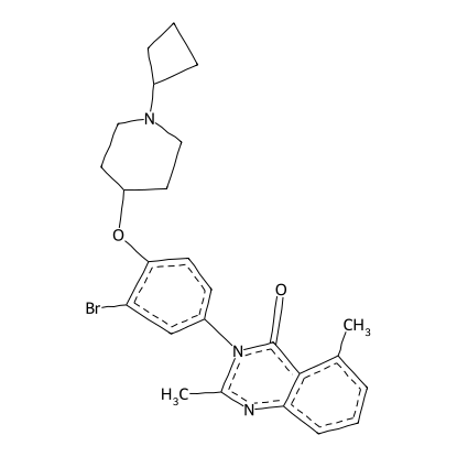 Cc1cccc2nc(C)n(-c3ccc(OC4CCN(C5CCC5)CC4)c(Br)c3)c(=O)c12